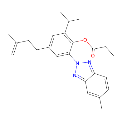 C=C(C)CCc1cc(C(C)C)c(OC(=O)CC)c(-n2nc3ccc(C)cc3n2)c1